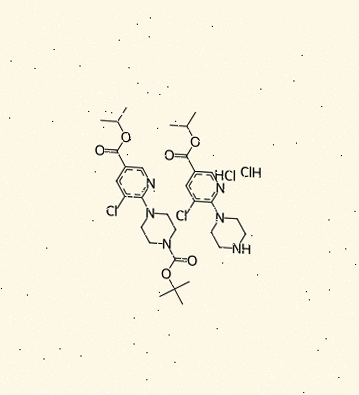 CC(C)OC(=O)c1cnc(N2CCN(C(=O)OC(C)(C)C)CC2)c(Cl)c1.CC(C)OC(=O)c1cnc(N2CCNCC2)c(Cl)c1.Cl.Cl